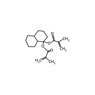 C=C(C)C(=O)OC1(OC(=O)C(=C)C)CCCC2CCCCC21